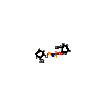 CCc1ccccc1OP=NPOc1ccccc1CC